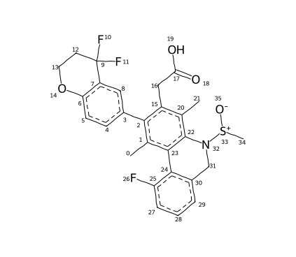 Cc1c(-c2ccc3c(c2)C(F)(F)CCO3)c(CC(=O)O)c(C)c2c1-c1c(F)cccc1CN2[S+](C)[O-]